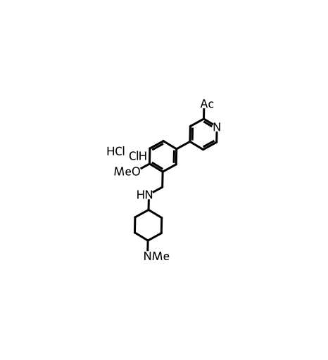 CNC1CCC(NCc2cc(-c3ccnc(C(C)=O)c3)ccc2OC)CC1.Cl.Cl